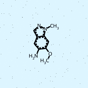 COc1cc2c(cnn2C)cc1N